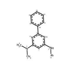 CC(C)Nc1cc(N(C)C)nc(-c2ccccc2)n1